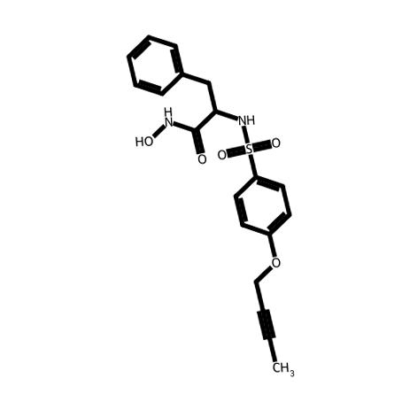 CC#CCOc1ccc(S(=O)(=O)NC(Cc2ccccc2)C(=O)NO)cc1